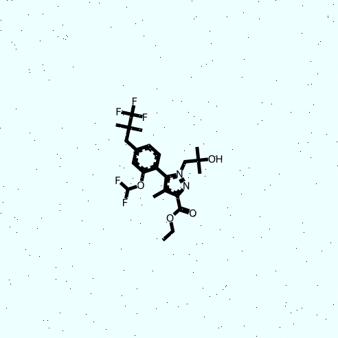 CCOC(=O)c1nn(CC(C)(C)O)c(-c2ccc(CC(C)(C)C(F)(F)F)cc2OC(F)F)c1C